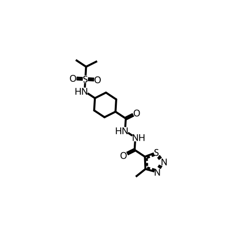 Cc1nnsc1C(=O)NNC(=O)C1CCC(NS(=O)(=O)C(C)C)CC1